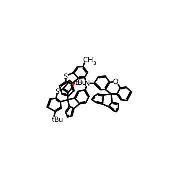 Cc1cc(N(c2ccc3c(c2)C2(c4ccccc4O3)c3ccccc3-c3ccccc32)c2ccc3c(c2)C2(c4cc(C(C)(C)C)ccc4Sc4ccc(C(C)(C)C)cc42)c2ccccc2-3)c2c(c1)sc1ccccc12